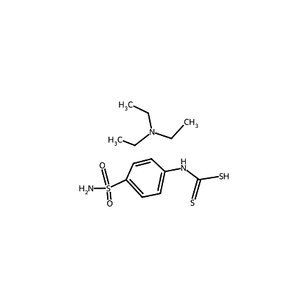 CCN(CC)CC.NS(=O)(=O)c1ccc(NC(=S)S)cc1